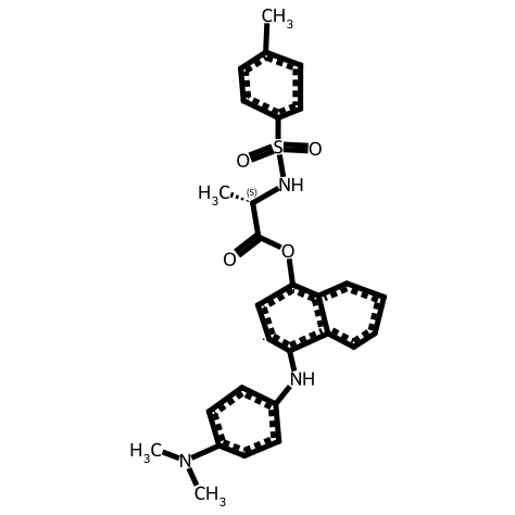 Cc1ccc(S(=O)(=O)N[C@@H](C)C(=O)Oc2c[c]c(Nc3ccc(N(C)C)cc3)c3ccccc23)cc1